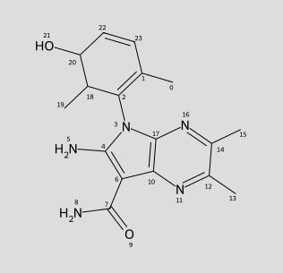 CC1=C(n2c(N)c(C(N)=O)c3nc(C)c(C)nc32)C(C)C(O)C=C1